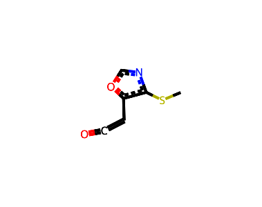 CSc1ncoc1C=C=O